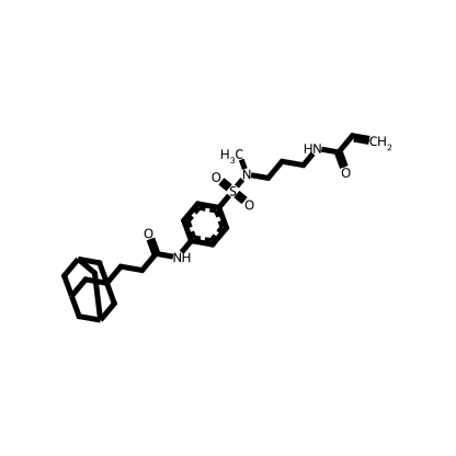 C=CC(=O)NCCCN(C)S(=O)(=O)c1ccc(NC(=O)CCC23CC4CC(CC(C4)C2)C3)cc1